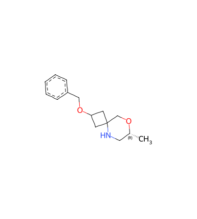 C[C@@H]1CNC2(CO1)CC(OCc1ccccc1)C2